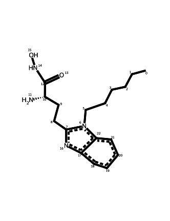 CCCCCCn1c(CC[C@H](N)C(=O)NO)nc2ccccc21